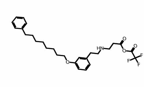 O=C(CCNCCc1cccc(OCCCCCCCCc2ccccc2)c1)OC(=O)C(F)(F)F